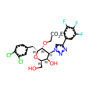 CCOC(=O)CO[C@@H]1[C@@H](n2cc(-c3cc(F)c(F)c(F)c3)nn2)[C@@H](O)[C@@H](CO)O[C@@H]1Cc1ccc(Cl)c(Cl)c1